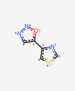 [c]1nc(-c2cnno2)cs1